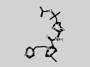 Cc1cc(C(=O)Nc2nc(C(C)(C)OC(C)C)cs2)n(Cc2ccncc2)c1